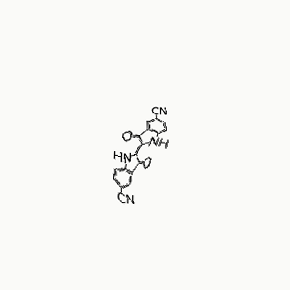 N#Cc1ccc2c(c1)C(=O)/C(=C1\Nc3ccc(C#N)cc3C1=O)N2